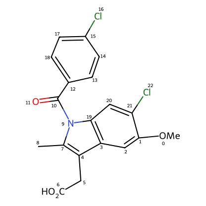 COc1cc2c(CC(=O)O)c(C)n(C(=O)c3ccc(Cl)cc3)c2cc1Cl